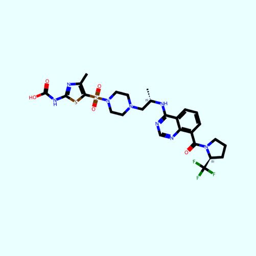 Cc1nc(NC(=O)O)sc1S(=O)(=O)N1CCN(C[C@H](C)Nc2ncnc3c(C(=O)N4CCC[C@H]4C(F)(F)F)cccc23)CC1